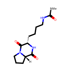 CNC(=O)NCCCC[C@@H]1NC(=O)[C@@H]2CCCN2C1=O